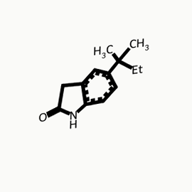 CCC(C)(C)c1ccc2c(c1)CC(=O)N2